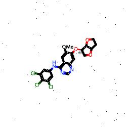 COc1cc2c(Nc3cc(Cl)c(Cl)c(Cl)c3)ncnc2cc1O[C@@H]1COC2CCOC21